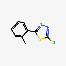 Cc1ccccc1-c1nnc(Cl)s1